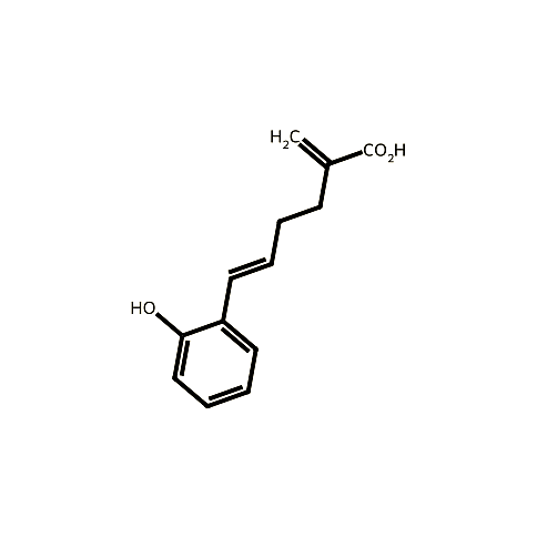 C=C(CCC=Cc1ccccc1O)C(=O)O